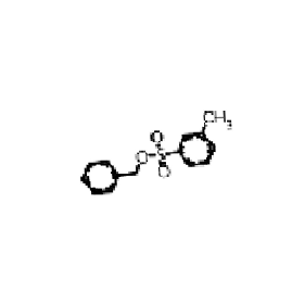 Cc1cccc(S(=O)(=O)OCc2ccccc2)c1